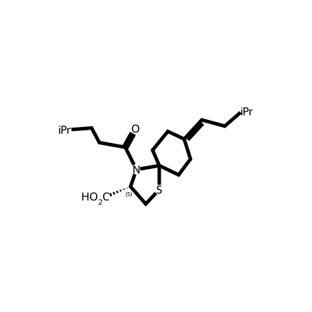 CC(C)CC=C1CCC2(CC1)SC[C@H](C(=O)O)N2C(=O)CCC(C)C